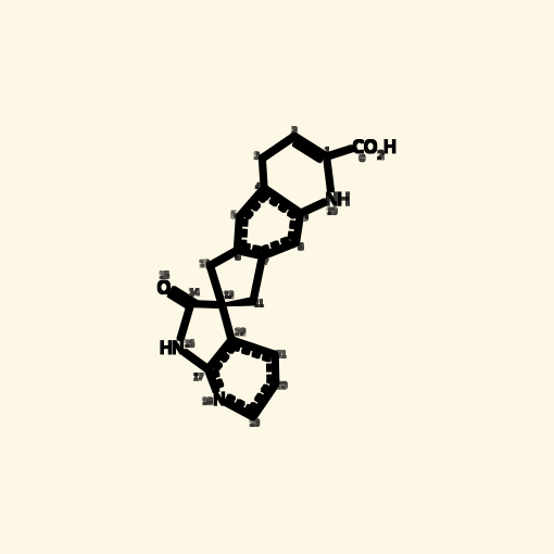 O=C(O)C1=CCc2cc3c(cc2N1)C[C@]1(C3)C(=O)Nc2ncccc21